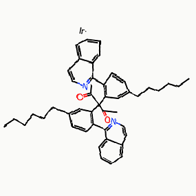 CCCCCCc1ccc(-c2nccc3ccccc23)c(C(C(C)=O)(C(C)=O)c2cc(CCCCCC)ccc2-c2nccc3ccccc23)c1.[Ir]